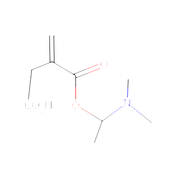 C=C(CC(=O)O)C(=O)OC(C)N(C)C